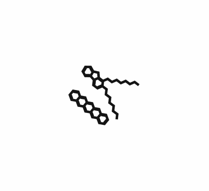 CCCCCCCCc1ccc2c(c1CCCCCCCC)Cc1ccccc1-2.c1ccc2cc3cc4cc5ccccc5cc4cc3cc2c1